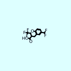 O=C(O)C1Cc2cc(C(F)F)ccc2OC1C(F)(F)F